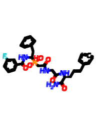 NC(=O)[C@H](CC=Cc1ccccc1)NC(=O)CNC(=O)CP(=O)(O)C(Cc1ccccc1)NC(=O)c1cccc(F)c1